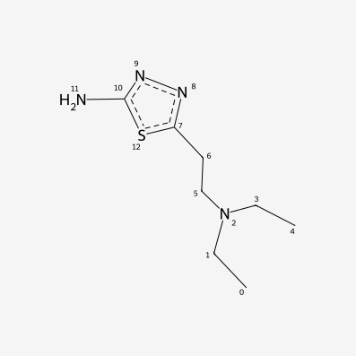 CCN(CC)CCc1nnc(N)s1